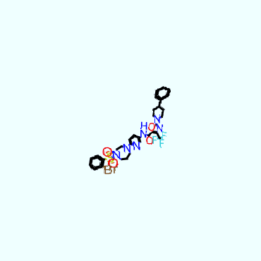 O=C(Nc1ccc(N2CCCN(S(=O)(=O)c3ccccc3Br)CC2)nc1)c1oc(N2CCC(c3ccccc3)CC2)nc1C(F)(F)F